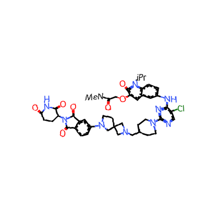 CNC(=O)COc1cc2cc(Nc3nc(N4CCC(CN5CC6(CCN(c7ccc8c(c7)C(=O)N(C7CCC(=O)NC7=O)C8=O)C6)C5)CC4)ncc3Cl)ccc2n(C(C)C)c1=O